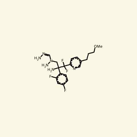 COCCCc1ccc(C(F)(F)C(N)(CN(N)/C=N\N)c2ccc(F)cc2F)nc1